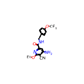 CCOc1nc(C(=O)NCc2ccc(OC(F)(F)F)cc2)cc(N)c1C#N